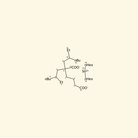 CCCCC(CC)CC(CCCC(=O)[O-])(CC(CC)CCCC)C(=O)[O-].CCCCC[CH2][Sn+2][CH2]CCCCC